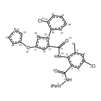 CCCC(C)NC(=O)c1cc(Cl)cc(C)c1NC(=O)c1cc(Oc2ccsc2)nn1-c1ncccc1Cl